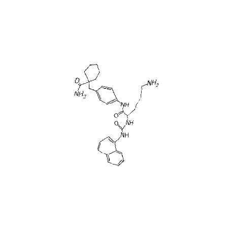 NCCCCC(NC(=O)Nc1cccc2ccccc12)C(=O)Nc1ccc(CC2(C(N)=O)CCCCC2)cc1